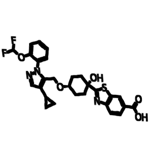 O=C(O)c1ccc2nc([C@]3(O)CC[C@@H](OCc4c(C5CC5)cnn4-c4ccccc4OC(F)F)CC3)sc2c1